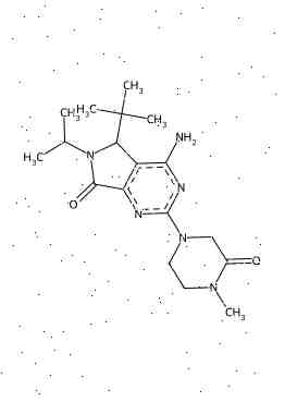 CC(C)N1C(=O)c2nc(N3CCN(C)C(=O)C3)nc(N)c2C1C(C)(C)C